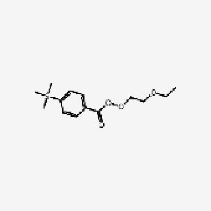 CCOC[CH]OOC(=O)c1ccc([Si](C)(C)C)cc1